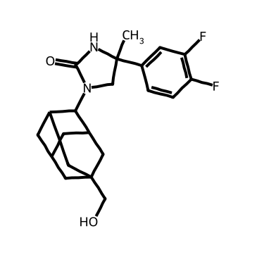 CC1(c2ccc(F)c(F)c2)CN(C2C3CC4CC2CC(CO)(C4)C3)C(=O)N1